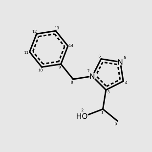 CC(O)c1cncn1Cc1ccccc1